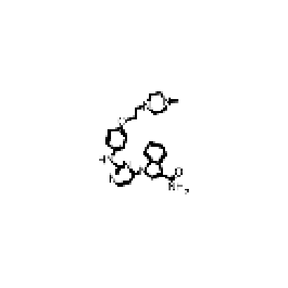 CN1CCN(CCOc2ccc(Nc3nccc(-n4cc(C(N)=O)c5ccccc54)n3)cc2)CC1